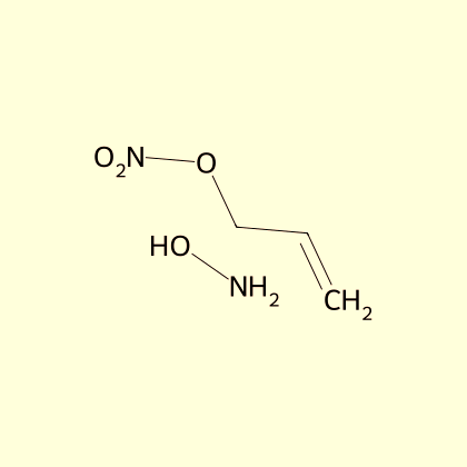 C=CCO[N+](=O)[O-].NO